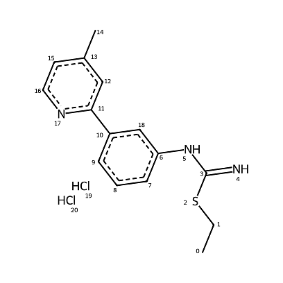 CCSC(=N)Nc1cccc(-c2cc(C)ccn2)c1.Cl.Cl